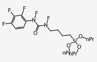 CCCO[Si](CCCCN(F)C(=O)N(F)c1ccc(F)c(F)c1F)(OCCC)OCCC